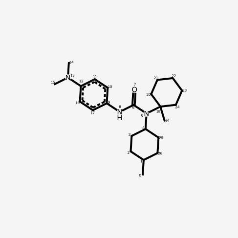 CC1CCC(N(C(=O)Nc2ccc(N(C)C)cc2)C2(C)CCCCC2)CC1